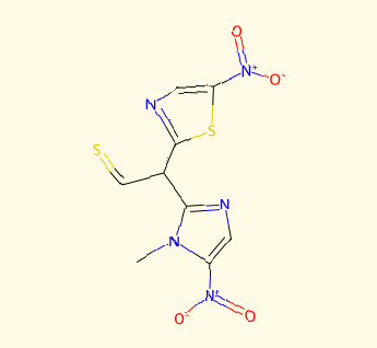 Cn1c([N+](=O)[O-])cnc1C(C=S)c1ncc([N+](=O)[O-])s1